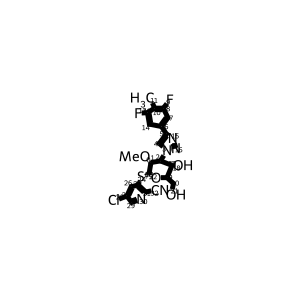 COC1C(n2cc(-c3cc(F)c(C)c(F)c3)nn2)[C@@H](O)C(CO)O[C@@H]1Sc1cc(Cl)cnc1C#N